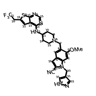 COc1cc2c(cc1CN1CCC(Nc3ncnc4sc(CC(F)(F)F)cc34)CC1)cc(C#N)n2Cc1cn[nH]c1